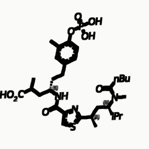 CCCCC(=O)N(C)[C@H](C[C@@H](C)c1nc(C(=O)N[C@@H](CCc2ccc(OP(=O)(O)O)c(C)c2)CC(C)C(=O)O)cs1)C(C)C